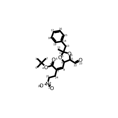 CC(C)(C)OC(=O)C(=CC1OC(C)(Cc2ccccc2)OC1C=O)CC[N+](=O)[O-]